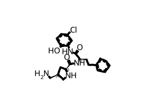 NC[C@@H]1CN[C@H](C(=O)N[C@H](CCc2ccccc2)C(=O)Nc2cc(Cl)ccc2O)C1